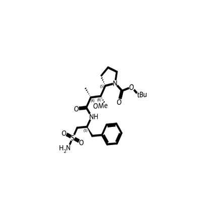 CO[C@H]([C@@H](C)C(=O)N[C@@H](Cc1ccccc1)CS(N)(=O)=O)[C@@H]1CCCN1C(=O)OC(C)(C)C